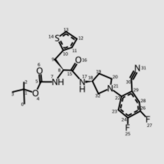 CC(C)(C)OC(=O)N[C@@H](Cc1cccs1)C(=O)N[C@H]1CCN(c2cc(F)c(F)cc2C#N)C1